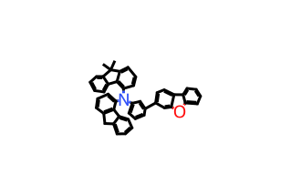 CC1(C)c2ccccc2-c2c(N(c3cccc(-c4ccc5c(c4)oc4ccccc45)c3)c3cccc4c3-c3ccccc3C4)cccc21